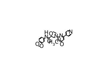 Cn1c(N2CCOC(C(=O)Nc3ccc4c(c3)OCO4)C2)nc(-c2ccncc2)cc1=O